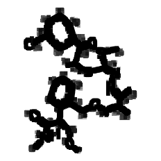 CNC(=O)C(=NOC)c1ccccc1CON=C(C)C(C)=NN=C(SC)SC(C)C(=O)c1cccc(Cl)c1